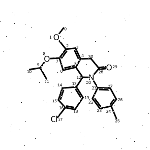 COc1cc2c(cc1OC(C)C)C(c1ccc(Cl)cc1)N(c1ccc(C)cc1)C(=O)C2